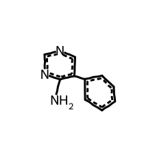 Nc1ncncc1-c1ccccc1